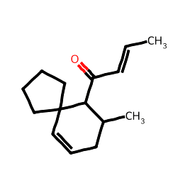 CC=CC(=O)C1C(C)CC=CC12CCCC2